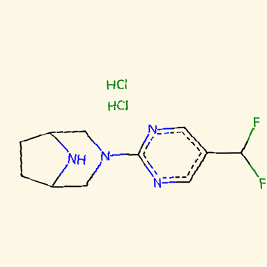 Cl.Cl.FC(F)c1cnc(N2CC3CCC(C2)N3)nc1